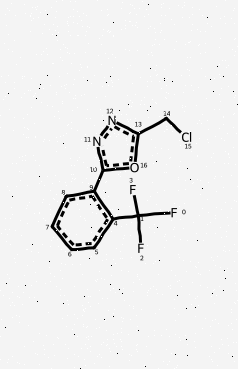 FC(F)(F)c1ccccc1-c1nnc(CCl)o1